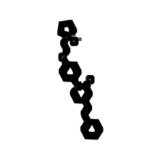 O=c1cc(C=Cc2ccccc2)ccn1-c1ccc(OCC[N+]2([O-])CCCC2)cc1